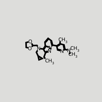 CCc1nn2c(-c3cnc(N(C)C)cc3C)cccc2c1N(CC1CC1)CC1OCCO1